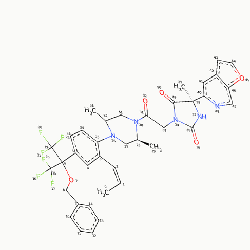 C/C=C\c1cc(C(OCc2ccccc2)(C(F)(F)F)C(F)(F)F)ccc1N1C[C@H](C)N(C(=O)CN2C(=O)N[C@](C)(c3cc4ccoc4cn3)C2=O)CC1C